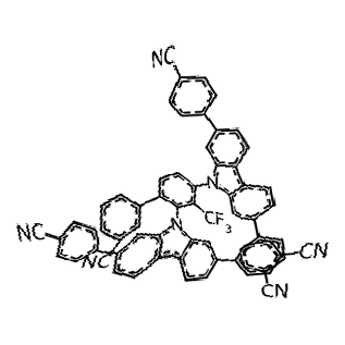 N#Cc1ccc(-c2ccc3c4ccc(-c5ccc(C#N)cc5)cc4n(-c4ccc(-c5cccc(C#N)c5)c(-n5c6cc(-c7ccc(C#N)cc7)ccc6c6ccc(-c7ccc(C#N)cc7)cc65)c4C(F)(F)F)c3c2)cc1